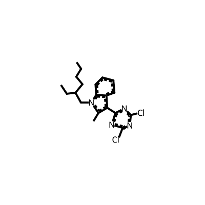 CCCCC(CC)Cn1c(C)c(-c2nc(Cl)nc(Cl)n2)c2ccccc21